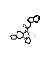 CN(C(=O)CC1=CCc2ccccc21)[C@@H]1CC[C@]2(CCCO2)C[C@H]1N1CCCC1